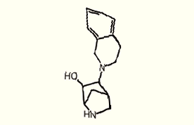 OC1C2CC(CN2)C1N1CCc2ccccc2C1